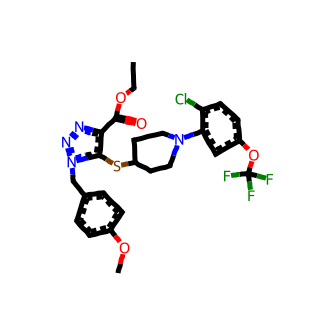 CCOC(=O)c1nnn(Cc2ccc(OC)cc2)c1SC1CCN(c2cc(OC(F)(F)F)ccc2Cl)CC1